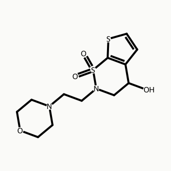 O=S1(=O)c2sccc2C(O)CN1CCN1CCOCC1